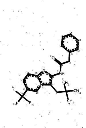 CC(C)(C)Cc1c(NC(=O)Cc2ccccc2)nc2ccc(C(F)(F)F)cn12